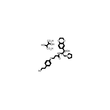 CC(=O)CCc1ccc(OCCC(=O)N[C@H](CN2CCCC2)[C@H](O)c2ccc3c(c2)OCCO3)cc1.O=C(O)C(O)C(O)C(=O)O